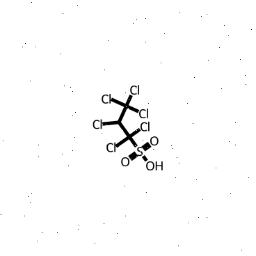 O=S(=O)(O)C(Cl)(Cl)C(Cl)C(Cl)(Cl)Cl